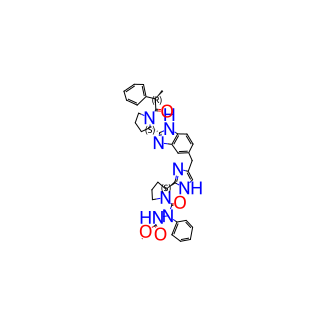 COC(=O)NN(C(=O)N1CCC[C@H]1c1nc(Cc2ccc3[nH]c([C@@H]4CCCN4C(=O)[C@H](C)c4ccccc4)nc3c2)c[nH]1)c1ccccc1